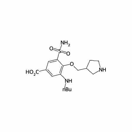 CCCCNc1cc(C(=O)O)cc(S(N)(=O)=O)c1OCC1CCNC1